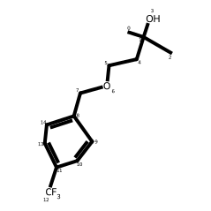 CC(C)(O)CCOCc1ccc(C(F)(F)F)cc1